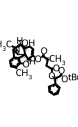 Cc1ccc2c3c1O[C@H]1C(OC(=O)[C@@H](C)CC(=O)O[C@H](C(=O)OC(C)(C)C)c4ccccc4)=CC[C@@]4(O)[C@@H](C2)N(C)CC[C@]314